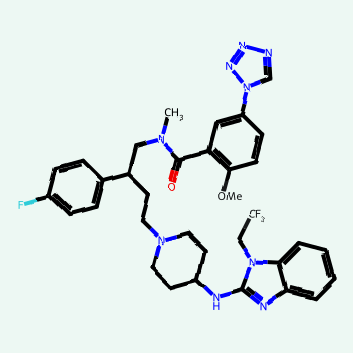 COc1ccc(-n2cnnn2)cc1C(=O)N(C)CC(CCN1CCC(Nc2nc3ccccc3n2CC(F)(F)F)CC1)c1ccc(F)cc1